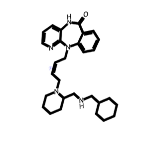 O=C1Nc2cccnc2N(C/C=C\CN2CCCCC2CNCC2CCCCC2)c2ccccc21